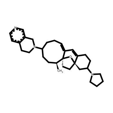 C[C@H]1CCC(N2CCc3ccncc3C2)CC/C=C2/C=C3CCC(N4CCCC4)C[C@]34CC[C@@]21O4